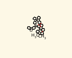 CC1(C)c2ccccc2-c2c(N(c3cccc(N(c4cccc(C5(c6ccccc6)c6ccccc6-c6ccccc65)c4)c4ccc5oc6ccccc6c5c4)c3)c3ccccc3-c3ccccc3)cccc21